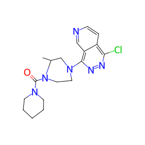 CC1CN(c2nnc(Cl)c3ccncc23)CCN1C(=O)N1CCCCC1